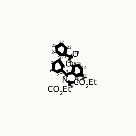 CCOC(=O)C(N=C(c1ccccc1)c1cc(F)ccc1OC(=O)c1ccccc1)C(=O)OCC